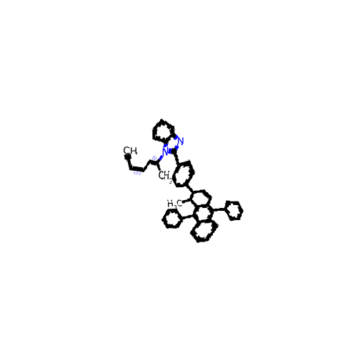 C#C/C=C\C=C(/C)n1c(-c2ccc(C3C=Cc4c(c(-c5ccccc5)c5ccccc5c4-c4ccccc4)C3C)cc2)nc2ccccc21